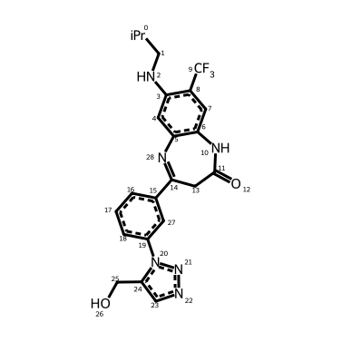 CC(C)CNc1cc2c(cc1C(F)(F)F)NC(=O)CC(c1cccc(-n3nncc3CO)c1)=N2